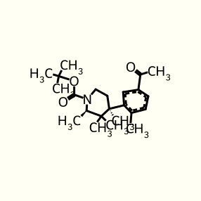 CC(=O)c1ccc(C)c([C@]2(C)CCN(C(=O)OC(C)(C)C)[C@H](C)C2(C)C)c1